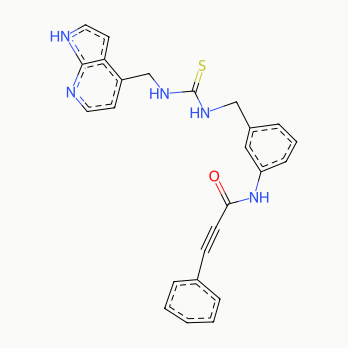 O=C(C#Cc1ccccc1)Nc1cccc(CNC(=S)NCc2ccnc3[nH]ccc23)c1